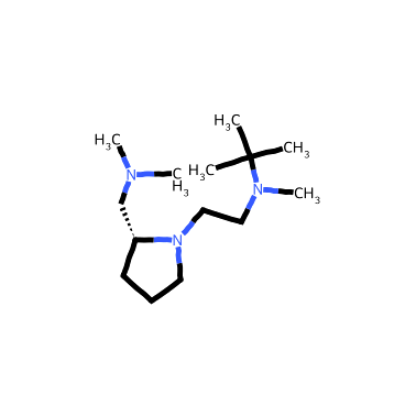 CN(C)C[C@H]1CCCN1CCN(C)C(C)(C)C